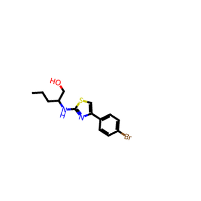 CCCC(CO)Nc1nc(-c2ccc(Br)cc2)cs1